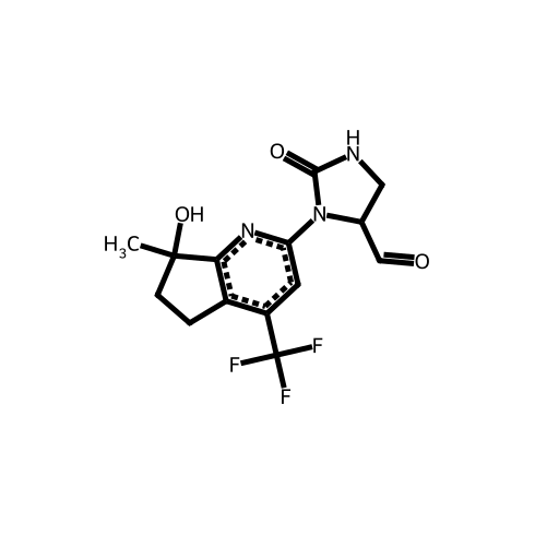 CC1(O)CCc2c(C(F)(F)F)cc(N3C(=O)NCC3C=O)nc21